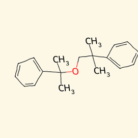 CC(C)(COC(C)(C)c1ccccc1)c1ccccc1